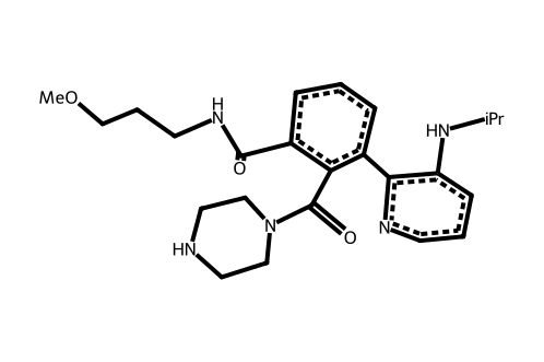 COCCCNC(=O)c1cccc(-c2ncccc2NC(C)C)c1C(=O)N1CCNCC1